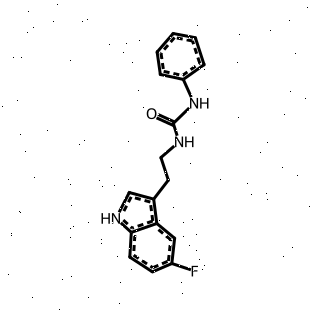 O=C(NCCc1c[nH]c2ccc(F)cc12)Nc1ccccc1